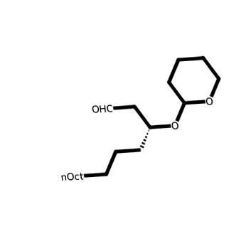 CCCCCCCCCCC[C@H](CC=O)OC1CCCCO1